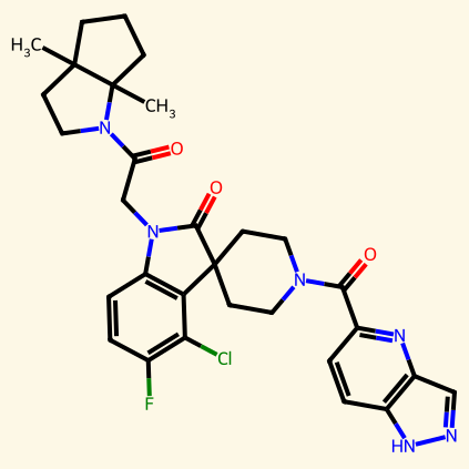 CC12CCCC1(C)N(C(=O)CN1C(=O)C3(CCN(C(=O)c4ccc5[nH]ncc5n4)CC3)c3c1ccc(F)c3Cl)CC2